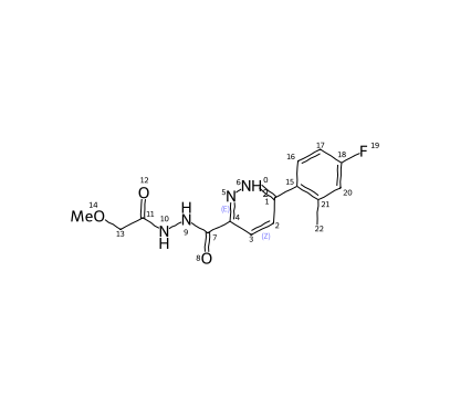 C=C(/C=C\C(=N/N)C(=O)NNC(=O)COC)c1ccc(F)cc1C